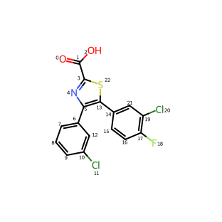 O=C(O)c1nc(-c2cccc(Cl)c2)c(-c2ccc(F)c(Cl)c2)s1